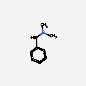 CN(C)[SiH]c1ccccc1